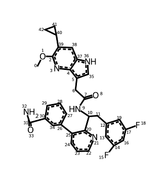 COc1nc2c(CC(=O)NC(Cc3cc(F)cc(F)c3)c3ncccc3-c3cccc(C(N)=O)c3)c[nH]c2cc1C1CC1